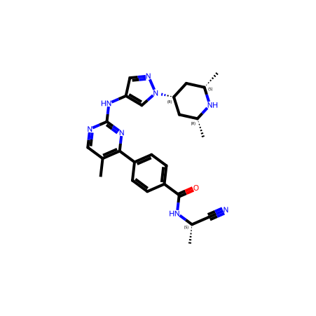 Cc1cnc(Nc2cnn([C@H]3C[C@@H](C)N[C@@H](C)C3)c2)nc1-c1ccc(C(=O)N[C@@H](C)C#N)cc1